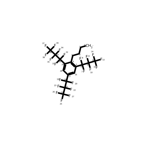 [CH2]CCCc1c(C(F)(F)C(F)(F)C(F)(F)F)cc(C(F)(F)C(F)(F)C(F)(F)F)cc1C(F)(F)C(F)(F)C(F)(F)F